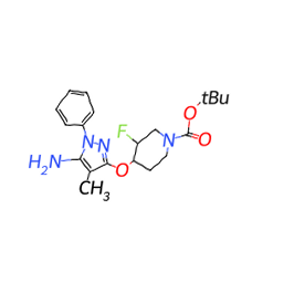 Cc1c(OC2CCN(C(=O)OC(C)(C)C)CC2F)nn(-c2ccccc2)c1N